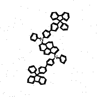 c1ccc(N(c2ccc(-c3ccc(C4(c5ccccc5)c5ccccc5-c5ccccc54)cc3)cc2)c2ccc3ccc4c(N(c5ccccc5)c5ccc(-c6ccc(C7(c8ccccc8)c8ccccc8-c8ccccc87)cc6)cc5)ccc5ccc2c3c54)cc1